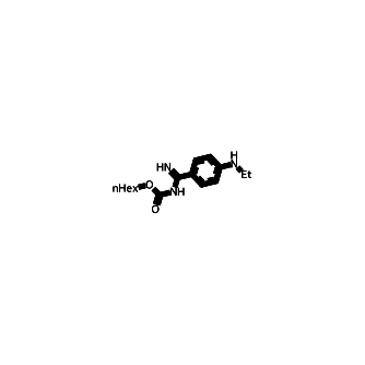 CCCCCCOC(=O)NC(=N)c1ccc(NCC)cc1